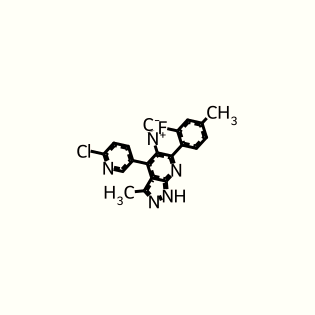 [C-]#[N+]c1c(-c2ccc(C)cc2F)nc2[nH]nc(C)c2c1-c1ccc(Cl)nc1